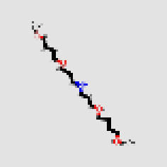 CCCOCCCCOCCCNCCCOCCCCOCCC